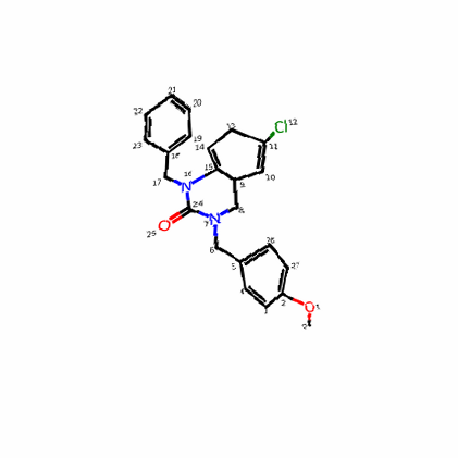 COc1ccc(CN2CC3C=C(Cl)CC=C3N(Cc3ccccc3)C2=O)cc1